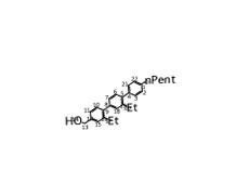 CCCCCc1ccc(-c2ccc(-c3ccc(CO)cc3CC)cc2CC)cc1